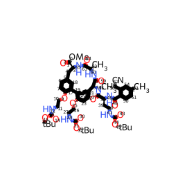 COC(=O)[C@@H]1Cc2ccc(OCCNC(=O)OC(C)(C)C)c(c2)-c2cc(ccc2OCCNC(=O)OC(C)(C)C)[C@H](N(C)C(=O)[C@H](CCNC(=O)OC(C)(C)C)NC(=O)c2ccc(C)cc2CC#N)C(=O)N[C@@H](C)C(=O)N1